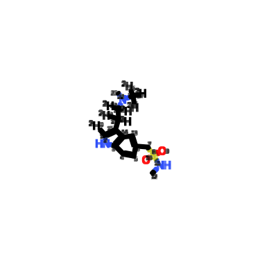 [2H]c1[nH]c2ccc(CS(=O)(=O)NC)cc2c1C([2H])([2H])C([2H])([2H])N(C)C([2H])([2H])[2H]